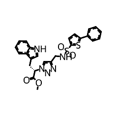 COC(=O)[C@H](Cc1c[nH]c2ccccc12)n1cc(CNS(=O)(=O)c2ccc(-c3ccccc3)s2)nn1